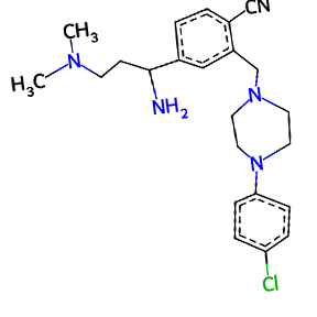 CN(C)CCC(N)c1ccc(C#N)c(CN2CCN(c3ccc(Cl)cc3)CC2)c1